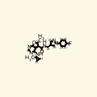 Cc1oc2ncnc(NC3(C)CC3)c2c1C(=O)NCc1cnn(-c2ccc(F)cc2)c1